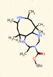 CC1CC(C)(C)C2NCN(C(=O)OC(C)(C)C)C(C)NC2C(C)(C)CC(C)N1